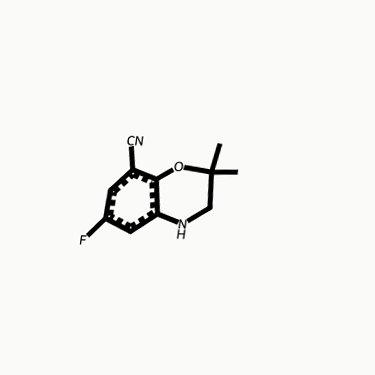 CC1(C)CNc2cc(F)cc(C#N)c2O1